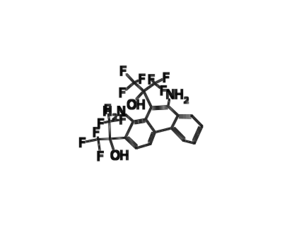 Nc1c(C(O)(C(F)(F)F)C(F)(F)F)c2c(N)c(C(O)(C(F)(F)F)C(F)(F)F)ccc2c2ccccc12